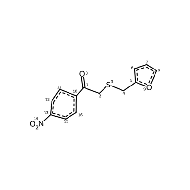 O=C(CSCc1ccco1)c1ccc([N+](=O)[O-])cc1